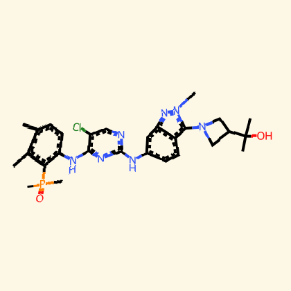 Cc1ccc(Nc2nc(Nc3ccc4c(N5CC(C(C)(C)O)C5)n(C)nc4c3)ncc2Cl)c(P(C)(C)=O)c1C